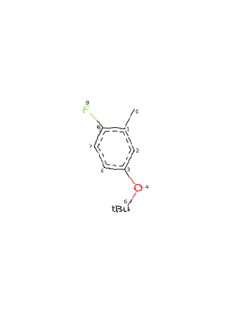 Cc1cc(OC(C)(C)C)ccc1F